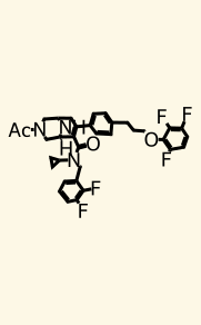 CC(=O)N1CC2CC(c3ccc(CCCOc4c(F)ccc(F)c4F)cc3)=C(C(=O)N(Cc3cccc(F)c3F)C3CC3)[C@@H](C1)N2